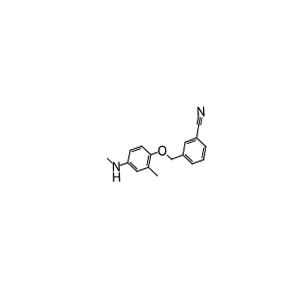 CNc1ccc(OCc2cccc(C#N)c2)c(C)c1